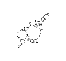 CO[C@H]1/C=C/C[C@H](C)[C@@H](C)S(=O)(NC(=O)c2cc3n(c2)CCOC3)=NC(=O)c2ccc3c(c2)N(Cc2ccc(Cl)cc2CCCCO3)C[C@@H]2CC[C@H]21